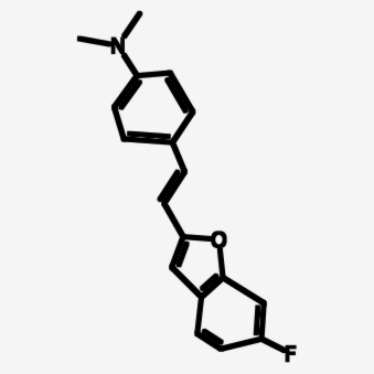 CN(C)c1ccc(/C=C/c2cc3ccc(F)cc3o2)cc1